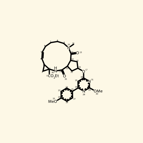 CCOC(=O)C12CC1C=CCCCCN(C)C(=O)C1CC(Oc3cc(-c4ccc(OC)cc4)nc(OC)n3)CC1C(=O)N2